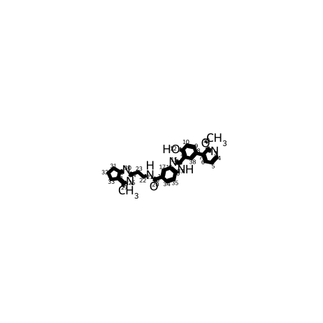 COc1ncccc1-c1ccc(O)c(-c2nc3cc(C(=O)NCCc4nc(C)c5c(n4)CCC5)ccc3[nH]2)c1